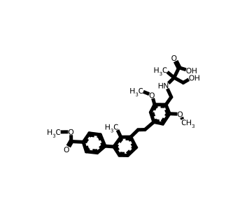 COC(=O)c1ccc(-c2cccc(CCc3cc(OC)c(CNC(C)(CO)C(=O)O)c(OC)c3)c2C)cc1